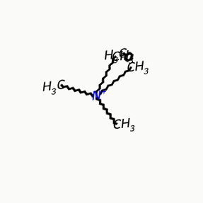 CCCCCCCCCCCC[N+](CCCCCCCCCCCC)(CCCCCCCCCCCC)CCCCCCCCCCCC.Cc1ccccc1